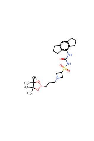 CC1(C)OB(CCCN2CC(S(=O)(=O)NC(=O)Nc3c4c(cc5c3CCC5)CCC4)C2)OC1(C)C